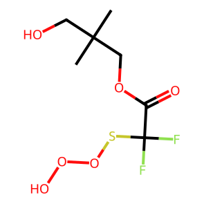 CC(C)(CO)COC(=O)C(F)(F)SOOO